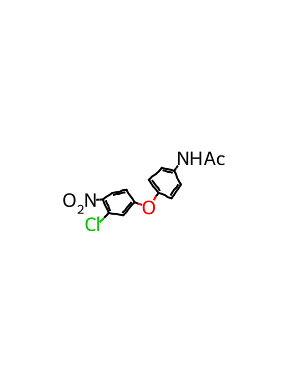 CC(=O)Nc1ccc(Oc2ccc([N+](=O)[O-])c(Cl)c2)cc1